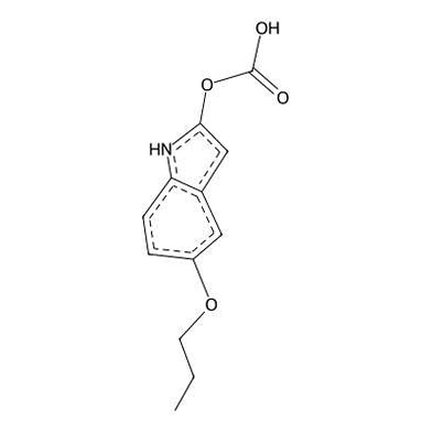 CCCOc1ccc2[nH]c(OC(=O)O)cc2c1